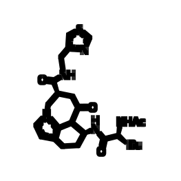 CC[C@H](C)[C@H](NC(C)=O)C(=O)N[C@H]1CCc2ccn3c2C1C(=O)C[C@H](C(=O)NCc1cscn1)C3